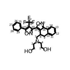 OCCN(CCO)CC1Cc2ccccc2-c2noc(-c3noc(-c4ccccc4)c3C(F)(F)F)c21